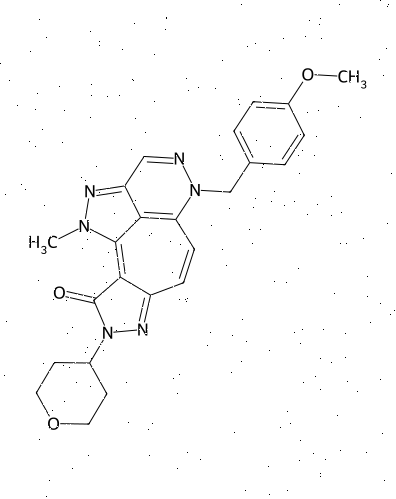 COc1ccc(Cn2ncc3nn(C)c4c5c(=O)n(C6CCOCC6)nc5ccc2c34)cc1